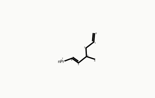 C=CCC(C)C=CCCC